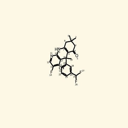 CC1(C)CC(=O)C2=C(C1)Nc1ncc(F)c(C#N)c1C2(C)c1cccc(C(F)F)c1